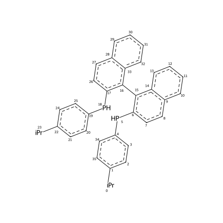 CC(C)c1ccc(Pc2ccc3ccccc3c2-c2c(Pc3ccc(C(C)C)cc3)ccc3ccccc23)cc1